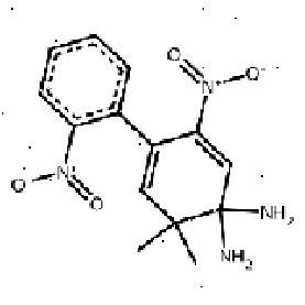 CC1(C)C=C(c2ccccc2[N+](=O)[O-])C([N+](=O)[O-])=CC1(N)N